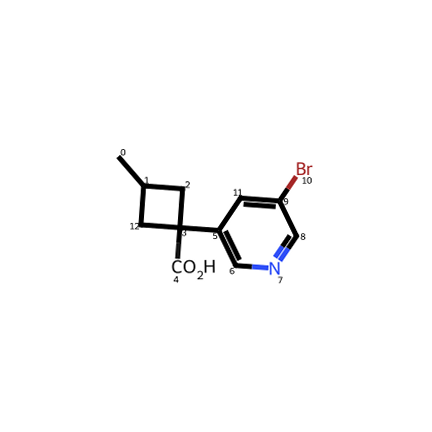 CC1CC(C(=O)O)(c2cncc(Br)c2)C1